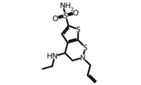 C=CCN1CC(NCC)c2cc(S(N)(=O)=O)sc2S1